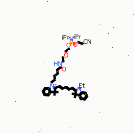 CCN1/C(=C/C=C/C=C/C2=[N+](CCCCCC(=O)NCCOCCOP(OCCC#N)N(C(C)C)C(C)C)c3ccccc3C2(C)C)C(C)(C)c2ccccc21